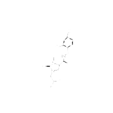 CN1C(=O)N(CC(F)F)CC1C(=O)NCc1ccc(Cl)cc1Cl